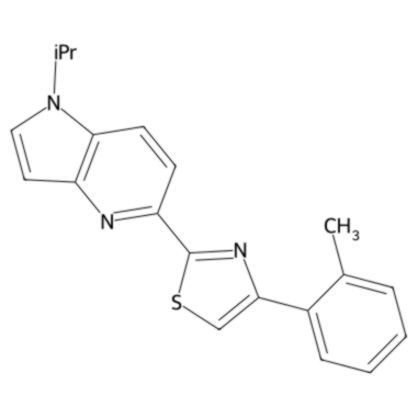 Cc1ccccc1-c1csc(-c2ccc3c(ccn3C(C)C)n2)n1